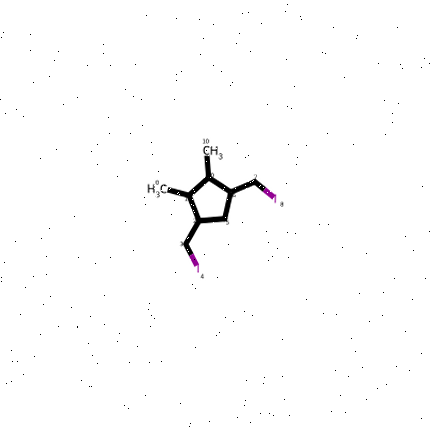 CC1C(CI)CC(CI)C1C